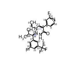 C=CN(/C=C(\C(N)=O)c1ccnc(F)c1)/N=C(/c1cc(F)cc(C(F)(F)F)c1)C(C)C